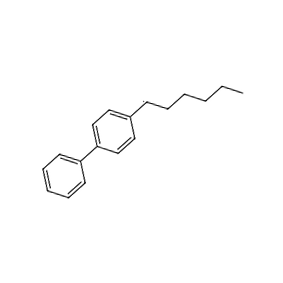 CCCCC[CH]c1ccc(-c2ccccc2)cc1